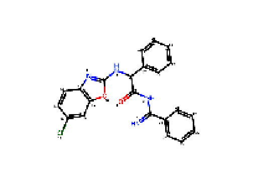 N=C(NC(=O)C(Nc1nc2ccc(Cl)cc2o1)c1ccccc1)c1ccccc1